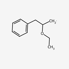 [CH2]C(Cc1ccccc1)OCC